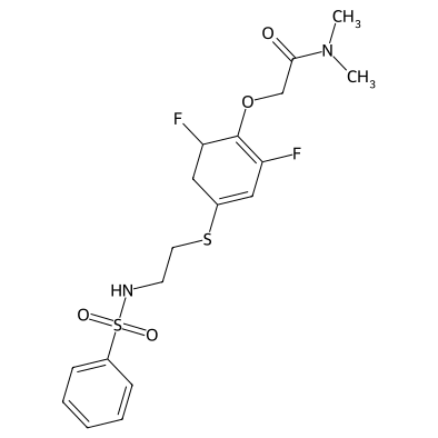 CN(C)C(=O)COC1=C(F)C=C(SCCNS(=O)(=O)c2ccccc2)CC1F